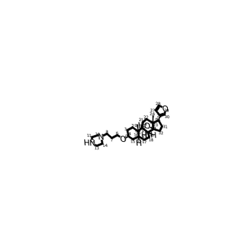 C[C@]12CC[C@H](OCCCN3CCNCC3)C[C@H]1CC[C@@H]1[C@@H]2CC[C@]2(C)[C@@H](c3ccoc3)CC[C@]12O